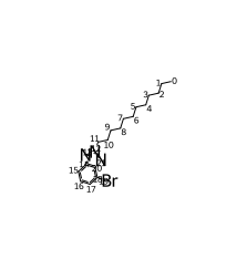 CCCCCCCCCCCCn1nc2cccc(Br)c2n1